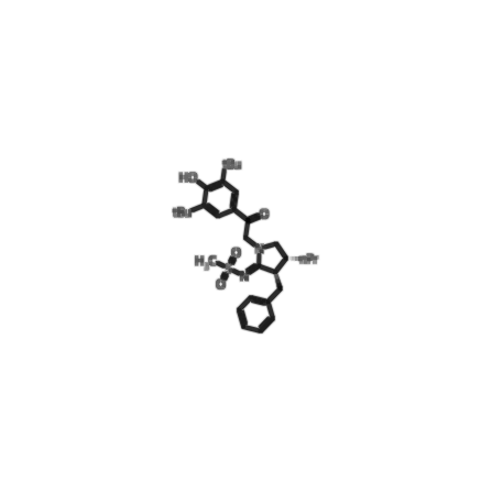 CCC[C@H]1CN(CC(=O)c2cc(C(C)(C)C)c(O)c(C(C)(C)C)c2)/C(=N\S(C)(=O)=O)[C@@H]1Cc1ccccc1